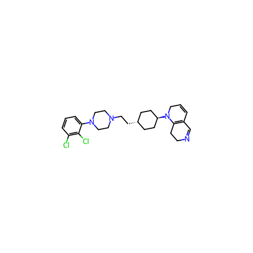 Clc1cccc(N2CCN(CC[C@H]3CC[C@H](N4CC=CC5=C4CCN=C5)CC3)CC2)c1Cl